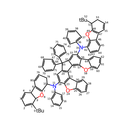 CC(C)(C)C1=CC=CC2C3=C(OC12)C(N(c1ccccc1)c1cc2c(c4c1oc1ccccc14)-c1c(cc(N(c4ccccc4)c4cccc5c6c(oc45)C(C(C)(C)C)CC=C6)c4c1oc1ccccc14)C2(c1ccccc1)c1ccccc1)CC=C3